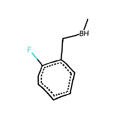 CBCc1ccccc1F